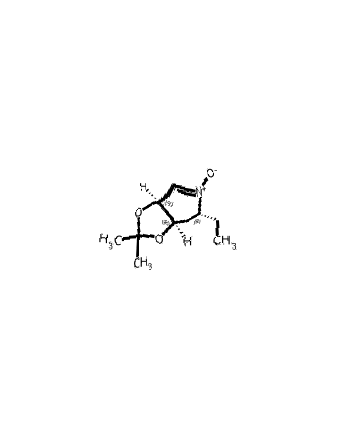 CC[C@@H]1[C@H]2OC(C)(C)O[C@H]2C=[N+]1[O-]